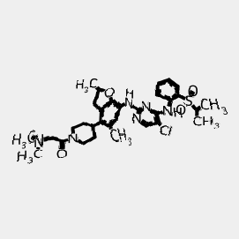 Cc1cc(Nc2ncc(Cl)c(Nc3ccccc3S(=O)(=O)C(C)C)n2)c2c(c1C1CCN(C(=O)CN(C)C)CC1)CC(C)O2